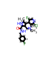 Cc1[nH]c(C(=O)NCc2ccc(F)cc2)c(CN(C)C)c1-c1cc(Cl)ncc1F